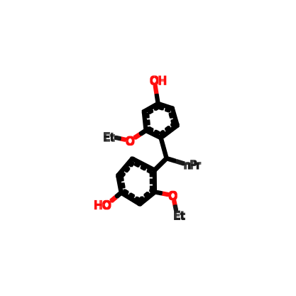 CCCC(c1ccc(O)cc1OCC)c1ccc(O)cc1OCC